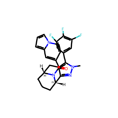 Cn1nc2c(c1-c1cc(F)c(F)c(F)c1)C[C@H]1CCC[C@@H]2N1C(=O)c1ccn2cccc2c1